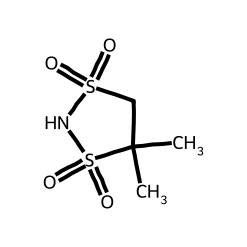 CC1(C)CS(=O)(=O)NS1(=O)=O